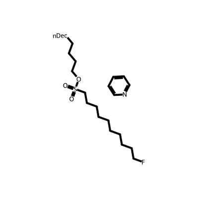 CCCCCCCCCCCCCCOS(=O)(=O)CCCCCCCCCCF.c1ccncc1